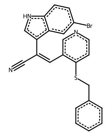 N#C/C(=C/c1cnccc1SCc1ccccc1)c1c[nH]c2ccc(Br)cc12